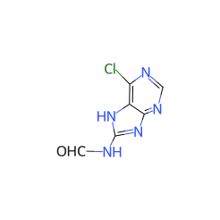 O=CNc1nc2ncnc(Cl)c2[nH]1